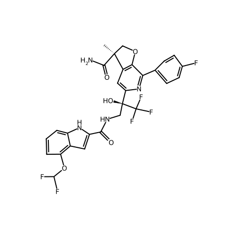 C[C@]1(C(N)=O)COc2c1cc([C@@](O)(CNC(=O)c1cc3c(OC(F)F)cccc3[nH]1)C(F)(F)F)nc2-c1ccc(F)cc1